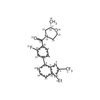 CCn1c(C(F)(F)F)nc2c(-c3ccc(C(=O)N4CCO[C@@H](C)C4)c(F)c3)nccc21